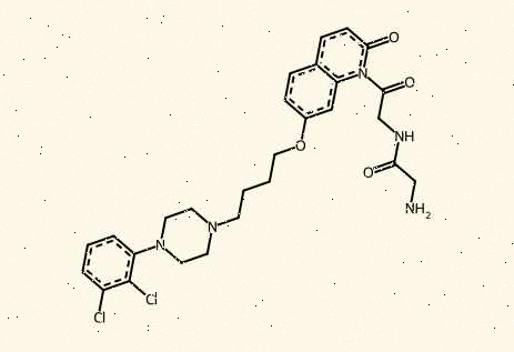 NCC(=O)NCC(=O)n1c(=O)ccc2ccc(OCCCCN3CCN(c4cccc(Cl)c4Cl)CC3)cc21